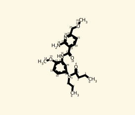 CCCC(=O)N(CCC)c1ccc(OC)c(NC(=O)c2ccc(COC)nc2N)c1